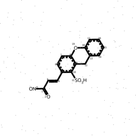 O=NC(=O)C=Cc1ccc2c(c1S(=O)(=O)O)Cc1ccccc1O2